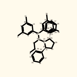 CCCN(P(c1cc(C)cc(C)c1)c1cc(C)cc(C)c1)P1[C@H](c2ccccc2)CC[C@H]1c1ccccc1